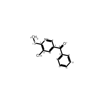 CSc1ncc(C(=O)c2ccccc2)cc1Cl